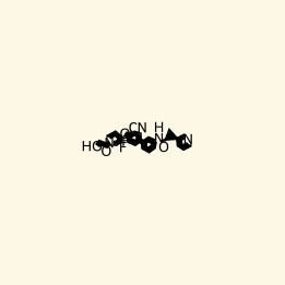 N#Cc1cc(-c2cccc(NC(=O)[C@H]3C[C@@H]3c3cccnc3)c2)ccc1O[C@H]1CCN(C(=O)CO)CC1(F)F